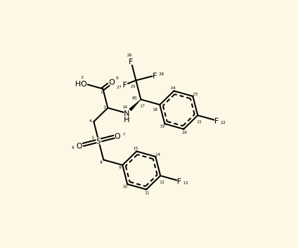 O=C(O)C(CS(=O)(=O)Cc1ccc(F)cc1)N[C@H](c1ccc(F)cc1)C(F)(F)F